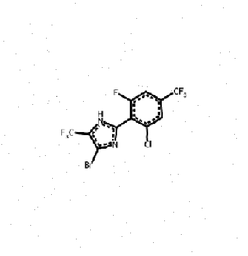 Fc1cc(C(F)(F)F)cc(Cl)c1-c1nc(Br)c(C(F)(F)F)[nH]1